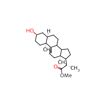 COC(=O)[C@@H](C)C1CCC2C3CC[C@@H]4C[C@H](O)CC[C@]4(C)C3=CC[C@@]21C